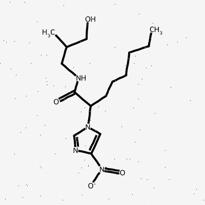 CCCCCCC(C(=O)NCC(C)CO)n1cnc([N+](=O)[O-])c1